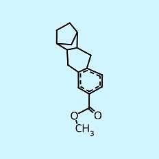 COC(=O)c1ccc2c(c1)CC1C3CCC(C3)C1C2